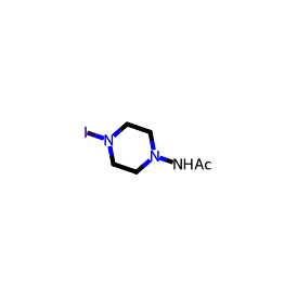 CC(=O)NN1CCN(I)CC1